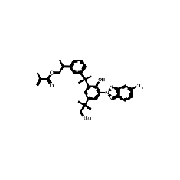 C=C(C)C(=O)OCC(C)c1cccc(C(C)(C)c2cc(C(C)(C)CC(C)(C)C)cc(-n3nc4ccc(C(F)(F)F)cc4n3)c2O)c1